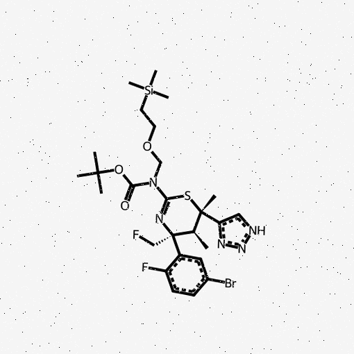 C[C@H]1[C@@](CF)(c2cc(Br)ccc2F)N=C(N(COCC[Si](C)(C)C)C(=O)OC(C)(C)C)S[C@]1(C)c1c[nH]nn1